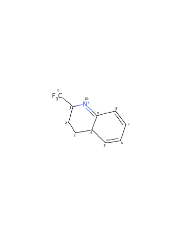 FC(F)(F)C1CCC2C=CC=CC2=[N+]1